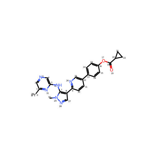 CC(C)c1cncc(Nc2c(-c3ccc(-c4ccc(OC(=O)C5CC5)cc4)cn3)cnn2C)n1